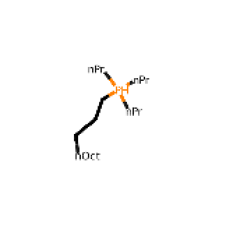 CCCCCCCCCCC[PH](CCC)(CCC)CCC